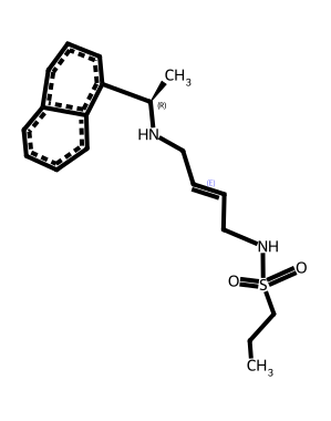 CCCS(=O)(=O)NC/C=C/CN[C@H](C)c1cccc2ccccc12